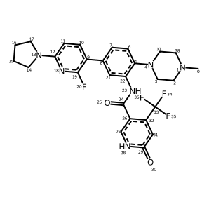 CN1CCN(c2ccc(-c3ccc(N4CCCC4)nc3F)cc2NC(=O)c2c[nH]c(=O)cc2C(F)(F)F)CC1